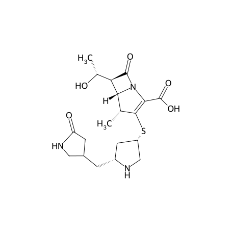 C[C@@H](O)[C@H]1C(=O)N2C(C(=O)O)=C(S[C@@H]3CN[C@H](CC4CNC(=O)C4)C3)[C@H](C)[C@H]12